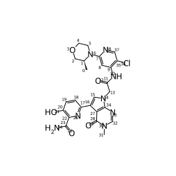 C[C@H]1COCCN1c1cc(NC(=O)Cn2cc(-c3ccc(O)c(C(N)=O)n3)c3c(=O)n(C)cnc32)c(Cl)cn1